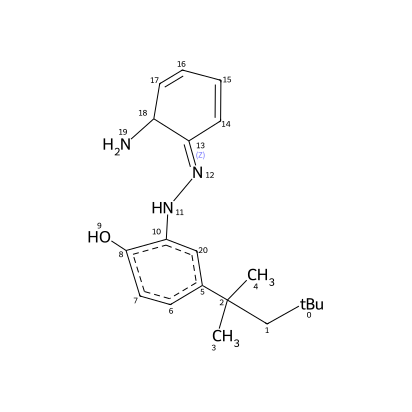 CC(C)(C)CC(C)(C)c1ccc(O)c(N/N=C2/C=CC=CC2N)c1